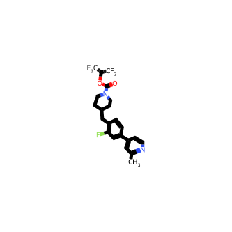 Cc1cc(-c2ccc(CC3CCN(C(=O)OC(C(F)(F)F)C(F)(F)F)CC3)c(F)c2)ccn1